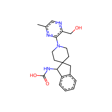 Cc1cnc(CO)c(N2CCC3(CC2)Cc2ccccc2C3NC(=O)O)n1